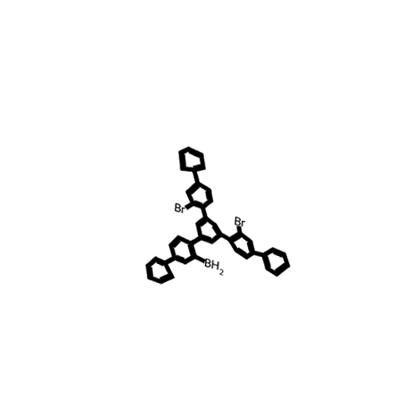 Bc1cc(-c2ccccc2)ccc1-c1cc(-c2ccc(-c3ccccc3)cc2Br)cc(-c2ccc(-c3ccccc3)cc2Br)c1